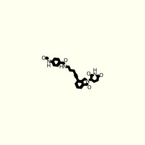 O=CNc1ccc(C(=O)NCCCC#Cc2cccc3c2CN(C2CCC(=O)NC2=O)C3=O)cc1